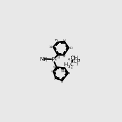 CC.[Cl-].[Ni+][P](c1ccccc1)c1ccccc1